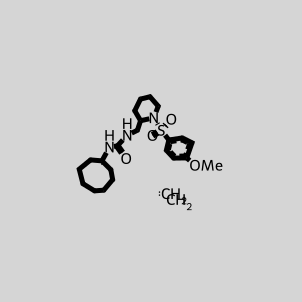 COc1ccc(S(=O)(=O)N2CCCCC2CNC(=O)N[C]2CCCCCCC2)cc1.[CH2].[CH2]